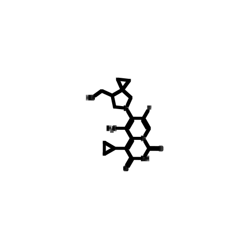 Cc1c(N2CC(CO)C3(CC3)C2)c(F)cn2c(=O)[nH]c(=O)c(C3CC3)c12